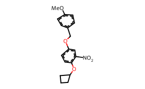 COc1ccc(COc2ccc(OC3CCC3)c([N+](=O)[O-])c2)cc1